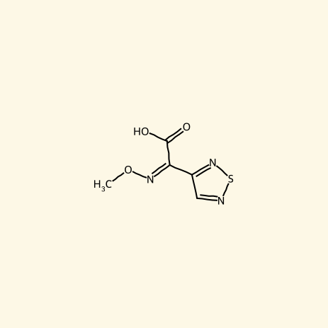 CON=C(C(=O)O)c1cnsn1